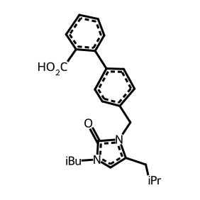 CCC(C)n1cc(CC(C)C)n(Cc2ccc(-c3ccccc3C(=O)O)cc2)c1=O